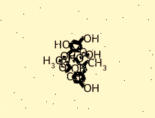 C=CCC(N(CC[C@H](Cc1cc(CO)ccc1O)C(C)P(=O)(O)O)Cc1ccc(CO)cc1O)P(C)(=O)O